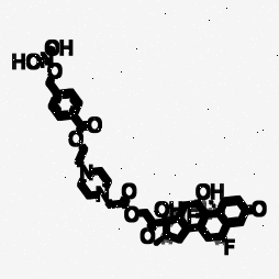 C[C@@H]1CC2C3C[C@H](F)C4=CC(=O)C=C[C@]4(C)[C@@]3(F)[C@@H](O)C[C@]2(C)[C@@]1(O)C(=O)COC(=O)CN1CCN(CCOC(=O)c2ccc(CON(O)O)cc2)CC1